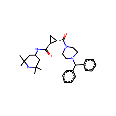 CC1(C)CC(NC(=O)[C@H]2C[C@@H]2C(=O)N2CCN(C(c3ccccc3)c3ccccc3)CC2)CC(C)(C)N1